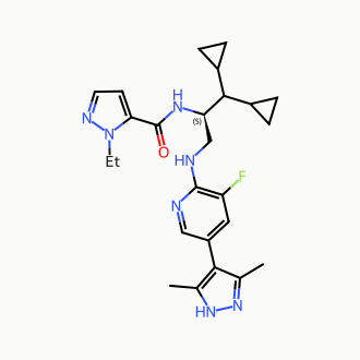 CCn1nccc1C(=O)N[C@H](CNc1ncc(-c2c(C)n[nH]c2C)cc1F)C(C1CC1)C1CC1